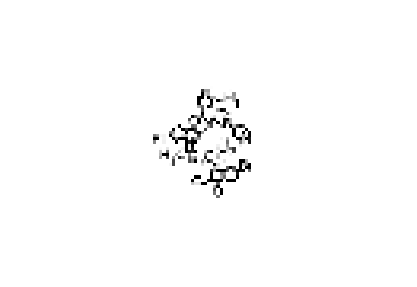 CC(C)n1cc(C=O)c(=O)c2ccc(Br)cc21.Cc1cc(CN(Cc2cn(C(C)C)c3cc(Br)ccc3c2=O)[C@H]2CCCN(c3ccnnc3)C2)ccn1